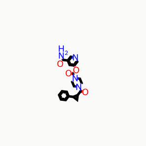 NC(=O)c1cncc(OC(=O)N2CCN(C(=O)C3CC3c3ccccc3)CC2)c1